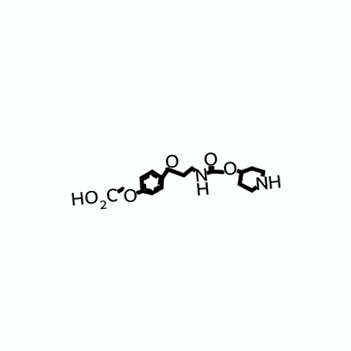 O=C(O)COc1ccc(C(=O)CCNC(=O)COC2CCNCC2)cc1